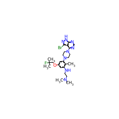 Cc1c(NCCN(C)C)cc(OCC(C)(C)F)cc1N1CCN(c2ncnc3[nH]nc(Br)c23)CC1